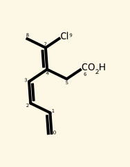 C=C/C=C\C(CC(=O)O)=C(/C)Cl